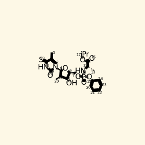 Cc1cn([C@H]2O[C@@H](COP(=O)(N[C@@H](C)C(=O)OC(C)C)Oc3ccccc3)C(O)[C@H]2C)c(=O)[nH]c1=S